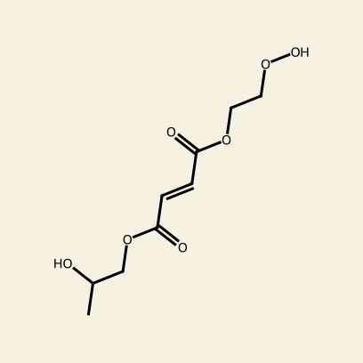 CC(O)COC(=O)C=CC(=O)OCCOO